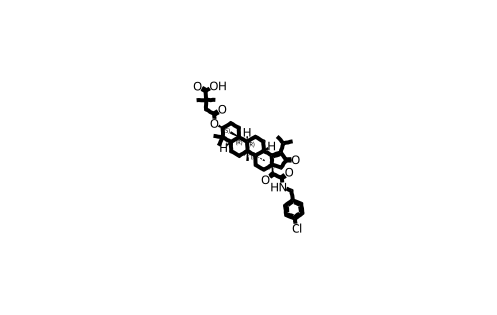 CC(C)C1=C2[C@H]3CC[C@@H]4[C@@]5(C)CC[C@H](OC(=O)CC(C)(C)C(=O)O)C(C)(C)[C@@H]5CC[C@@]4(C)[C@]3(C)CC[C@@]2(C(=O)C(=O)NCc2ccc(Cl)cc2)CC1=O